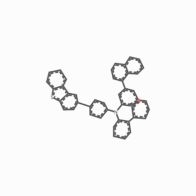 c1ccc(-c2ccccc2N(c2ccc(-c3ccc4sc5ccccc5c4c3)cc2)c2cccc(-c3cccc4ccccc34)c2)cc1